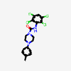 Cc1ccc(N2CCN(C(=O)Nc3c(Cl)c(Cl)cc(Cl)c3Cl)CC2)cc1